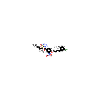 C=CC[C@H](C)CS(N)(=O)=NC(=O)c1ccc(OCCCCc2cc(Cl)ccc2C)c([N+](=O)[O-])c1